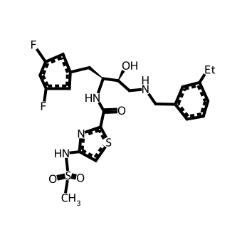 CCc1cccc(CNC[C@H](O)[C@H](Cc2cc(F)cc(F)c2)NC(=O)c2nc(NS(C)(=O)=O)cs2)c1